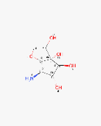 CO[C@H]1[C@H](N)[C@@H](O)[C@H](O)[C@]1(O)CO